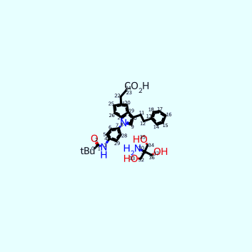 CC(C)(C)C(=O)Nc1ccc(-n2cc(CCc3ccccc3)c3cc(CCC(=O)O)ccc32)cc1.NC(CO)(CO)CO